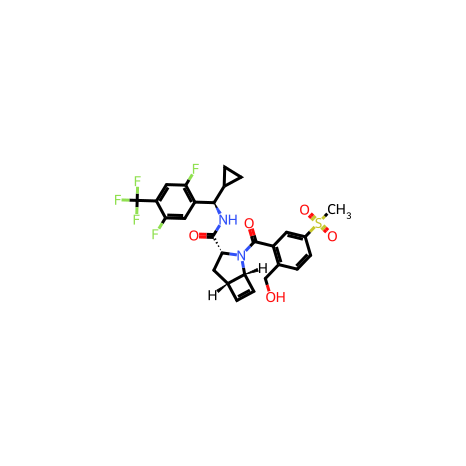 CS(=O)(=O)c1ccc(CO)c(C(=O)N2[C@@H](C(=O)N[C@@H](c3cc(F)c(C(F)(F)F)cc3F)C3CC3)C[C@H]3C=C[C@H]32)c1